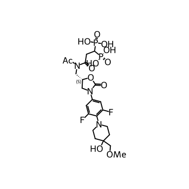 COCC1(O)CCN(c2c(F)cc(N3C[C@H](CN(C(C)=O)C(=O)CC(P(=O)(O)O)P(=O)(O)O)OC3=O)cc2F)CC1